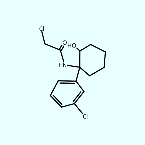 O=C(CCl)NC1(c2cccc(Cl)c2)CCCCC1O